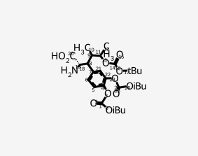 CC(C)COC(=O)Oc1ccc(C(C(C)C(C)OC(=O)OC(C)(C)C)[C@H](N)C(=O)O)cc1OC(=O)OCC(C)C